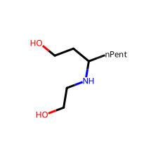 CCCCCC(CCO)NCCO